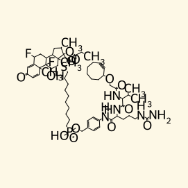 CCC(=O)OC1(C(=O)SCCCCCCCCCCP(=O)(O)OCc2ccc(NC(=O)C(CCCNC(N)=O)NC(=O)[C@@H](NC(=O)COC3C#CCCCCC3)C(C)C)cc2)C(C)CC2C3CC(F)C4=CC(=O)C=CC4(C)C3(F)C(O)CC21C